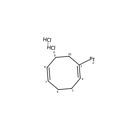 Cl.Cl.[Pt][C]1=CCCC=CCC1